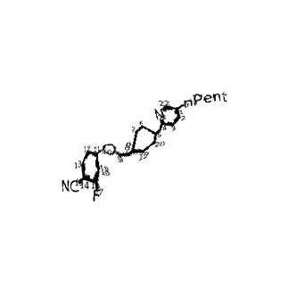 CCCCCc1ccc(C2CCC(COc3ccc(C#N)c(F)c3)CC2)nc1